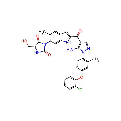 Cc1cc2cc(C(=O)c3cnn(-c4ccc(Oc5ccccc5F)cc4C)c3N)[nH]c2cc1N1C(=O)NC(CO)C1=O